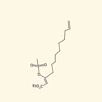 C=CCCCCCCCC/C(=C/C(=O)OCC)OS(C)(=O)=O